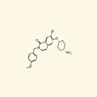 COc1ccc(Cn2ccc3cc(O[C@H]4CC[C@@H](N)CC4)c(Br)cc3c2=O)cc1